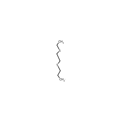 [CH2]CCSCCSCC